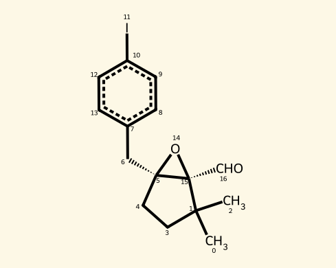 CC1(C)CC[C@@]2(Cc3ccc(I)cc3)O[C@@]12C=O